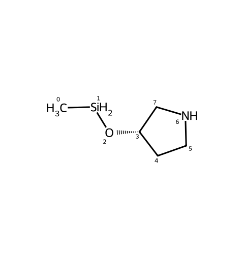 C[SiH2]O[C@H]1CCNC1